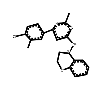 Cc1nc(N[C@@H]2CCOc3ccccc32)cc(-c2ccc(Cl)c(C)c2)n1